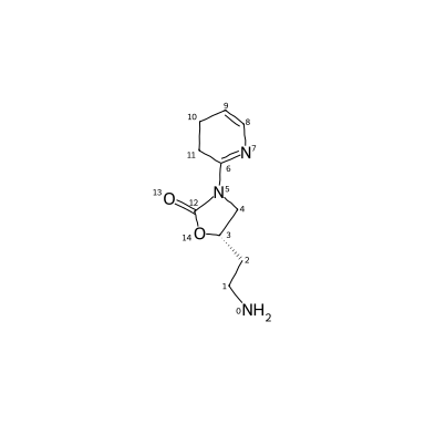 NCC[C@H]1CN(C2=NC=CCC2)C(=O)O1